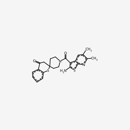 Cc1cc2c(C(=O)N3CCC4(CC3)CC(=O)c3ccccc3S4)c(N)sc2nc1C